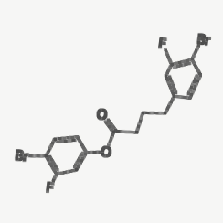 O=C(CCCc1ccc(Br)c(F)c1)Oc1ccc(Br)c(F)c1